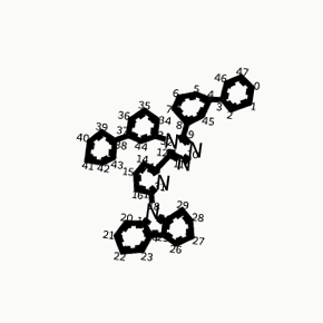 c1ccc(-c2cccc(-c3nnc(-c4cccc(-n5c6ccccc6c6ccccc65)n4)n3-c3cccc(-c4ccccc4)c3)c2)cc1